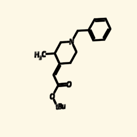 CC1CN(Cc2ccccc2)CC/C1=C\C(=O)OC(C)(C)C